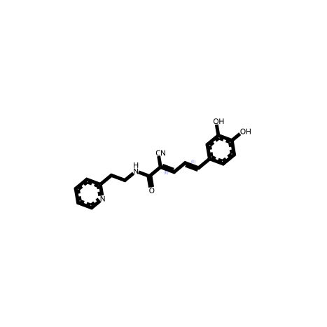 N#C/C(=C\C=C\c1ccc(O)c(O)c1)C(=O)NCCc1ccccn1